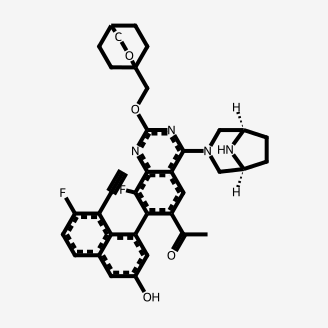 C#Cc1c(F)ccc2cc(O)cc(-c3c(C(C)=O)cc4c(N5C[C@H]6CC[C@@H](C5)N6)nc(OCC56CCC(CC5)CO6)nc4c3F)c12